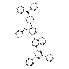 c1ccc(Sc2cc(-c3ccc(-c4nc(-c5ccccc5)nc(-c5ccccc5)n4)c4ccccc34)ccc2-c2ccc(N(c3ccccc3)c3ccccc3)cc2)cc1